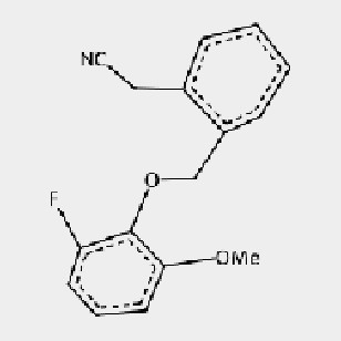 COc1cccc(F)c1OCc1ccccc1CC#N